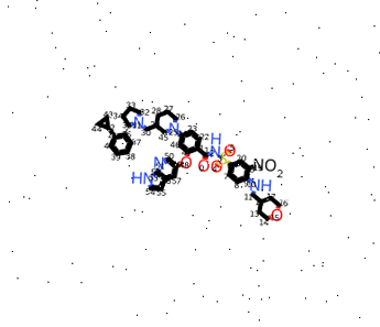 O=C(NS(=O)(=O)c1ccc(NCC2CCOCC2)c([N+](=O)[O-])c1)c1ccc(N2CCCC(CN3CCC[C@H]3c3ccccc3C3CC3)C2)cc1Oc1cnc2[nH]ccc2c1